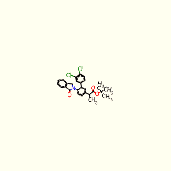 CC(C(=O)OC(C)(C)C)c1ccc(N2Cc3ccccc3C2=O)c(-c2ccc(Cl)c(Cl)c2)c1